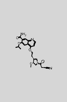 CO[C@H]1CN(C(=O)CC#N)C[C@@H]1CCOc1ccnc2cc(C(N)=O)c(OC(C)C)cc12